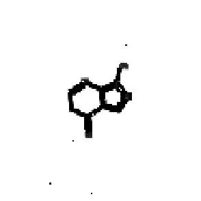 CC(C)n1ncc2c1N=CCC2=O